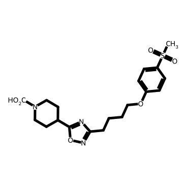 CS(=O)(=O)c1ccc(OCCCCc2noc(C3CCN(C(=O)O)CC3)n2)cc1